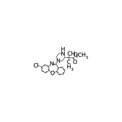 COC(=O)C(C)(C)[C@H]1CN(C2=Nc3cc(Cl)ccc3Oc3ccccc32)CCN1